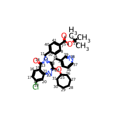 CC(C)(C)OC(=O)c1ccc(CN2C(=O)c3ccc(Cl)cc3N=C(OC3CCCCCC3)[C@H]2Cc2cccnc2)cc1